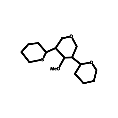 COC1C(C2CCCCS2)[C]OCC1C1CCCCO1